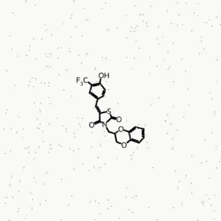 O=C1SC(=Cc2ccc(O)c(C(F)(F)F)c2)C(=O)N1CC1COc2ccccc2O1